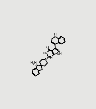 N[C@@H]1c2ccccc2CC12CCN(c1nc3[nH]nc(C4=CCNc5ccccc54)c3c(=O)[nH]1)CC2